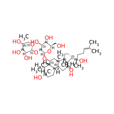 CC(C)=CCC[C@](C)(O)[C@H]1CC[C@]2(C)[C@@H]1[C@H](O)C[C@@H]1[C@@]3(C)CC[C@H](O)C(C)(C)[C@@H]3[C@@H](O[C@@H]3O[C@H](CO)[C@@H](O)[C@H](O)[C@H]3O[C@@H]3O[C@@H](C)[C@H](O)[C@@H](O)[C@H]3O)C[C@]12C